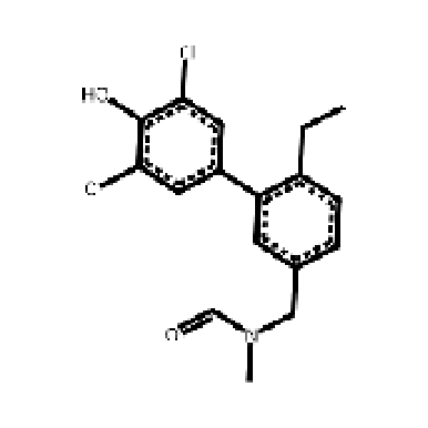 CCc1ccc(CN(C)C=O)cc1-c1cc(Cl)c(O)c(Cl)c1